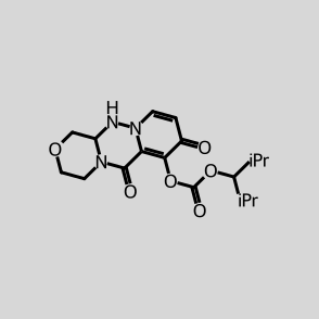 CC(C)C(OC(=O)Oc1c2n(ccc1=O)NC1COCCN1C2=O)C(C)C